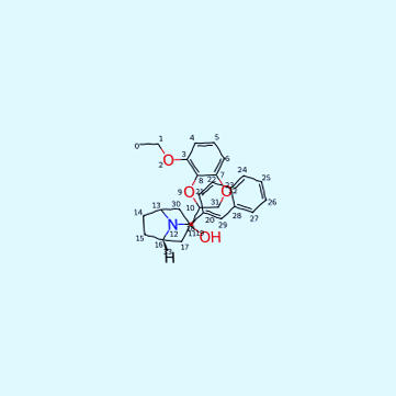 CCOc1cccc2c1OC(CN1C3CC[C@H]1CC(O)(c1ccc4ccccc4c1)C3)CO2